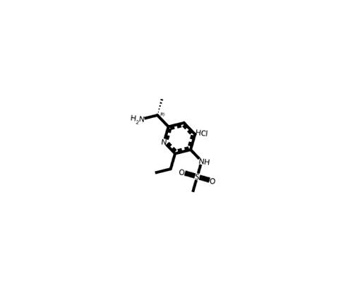 CCc1nc([C@@H](C)N)ccc1NS(C)(=O)=O.Cl